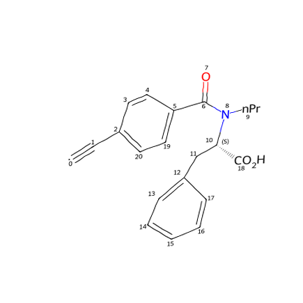 [C]#Cc1ccc(C(=O)N(CCC)[C@@H](Cc2ccccc2)C(=O)O)cc1